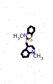 CN1C=CC(=C[C@H]2Sc3ccccc3N2C)c2ccccc21